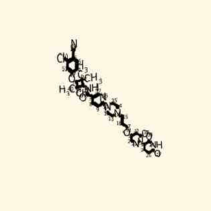 CC1(C)C(NC(=O)c2ccc(N3CCN(CCCOc4cnn(C5CCC(=O)NC5=O)c(=O)c4)CC3)nc2)C(C)(C)C1Oc1ccc(C#N)c(Cl)c1